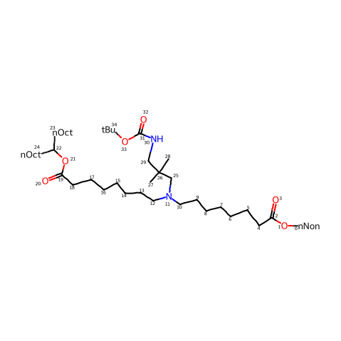 CCCCCCCCCOC(=O)CCCCCCCN(CCCCCCCC(=O)OC(CCCCCCCC)CCCCCCCC)CC(C)(C)CNC(=O)OC(C)(C)C